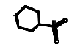 O=[SH](=O)C1CC[CH]CC1